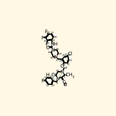 C[C@@H]1C(=C=O)N(Cc2ccc(F)cc2)[C@@H](C)CN1COc1ccc(Cl)cc1CN1CCN(C(=O)Nc2ccc(F)c(F)c2F)CC1